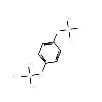 C[Si](C)(C)Oc1ccc(O[Si](C)(C)O)cc1